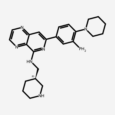 Pc1cc(-c2cc3nccnc3c(NC[C@@H]3CCCNC3)n2)ccc1N1CCCCC1